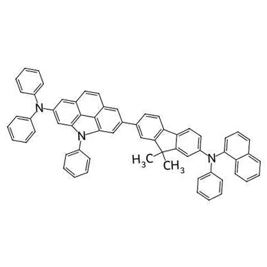 CC1(C)c2cc(-c3cc4ccc5cc(N(c6ccccc6)c6ccccc6)cc6c5c4c(c3)n6-c3ccccc3)ccc2-c2ccc(N(c3ccccc3)c3cccc4ccccc34)cc21